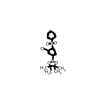 CC1(C)OB(c2ccc(S(=O)(=O)c3ccccc3)c(Cl)c2)OC1(C)C